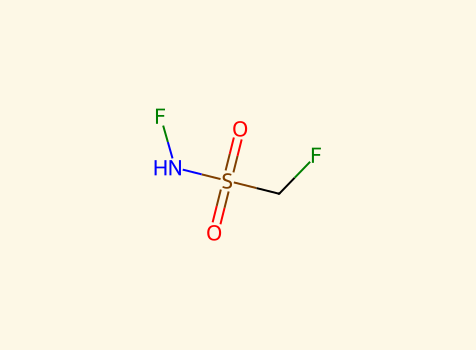 O=S(=O)(CF)NF